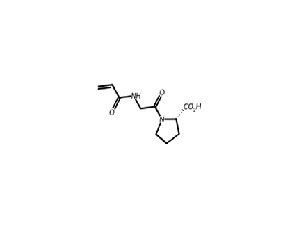 C=CC(=O)NCC(=O)N1CCC[C@H]1C(=O)O